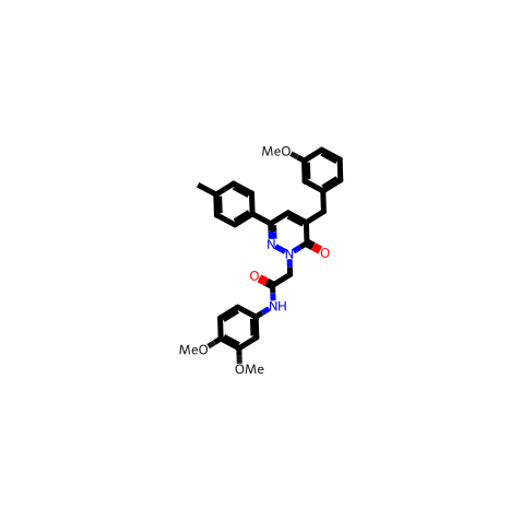 COc1cccc(Cc2cc(-c3ccc(C)cc3)nn(CC(=O)Nc3ccc(OC)c(OC)c3)c2=O)c1